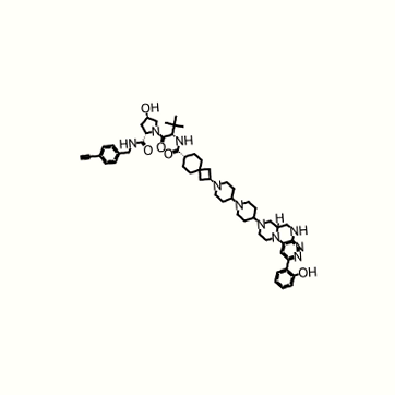 C#Cc1ccc(CNC(=O)[C@@H]2C[C@@H](O)CN2C(=O)[C@@H](NC(=O)[C@H]2CCC3(CC2)C[C@H](N2CCC(N4CCC(N5CCN6c7cc(-c8ccccc8O)nnc7NC[C@H]6C5)CC4)CC2)C3)C(C)(C)C)cc1